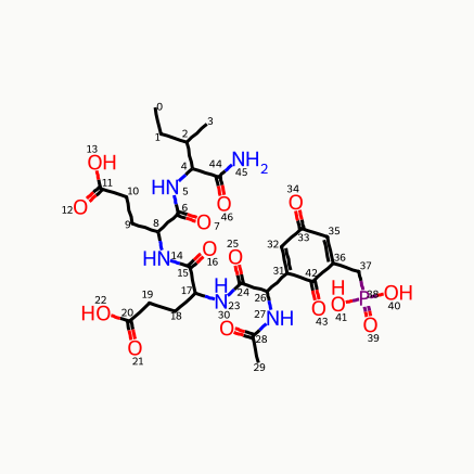 CCC(C)C(NC(=O)C(CCC(=O)O)NC(=O)C(CCC(=O)O)NC(=O)C(NC(C)=O)C1=CC(=O)C=C(CP(=O)(O)O)C1=O)C(N)=O